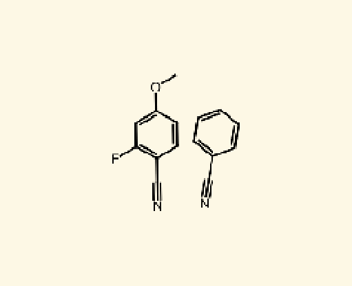 COc1ccc(C#N)c(F)c1.N#Cc1ccccc1